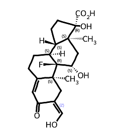 C[C@]12C/C(=C/O)C(=O)C=C1CC[C@H]1[C@@H]3CC[C@](O)(C(=O)O)[C@@]3(C)C[C@H](O)[C@@]12F